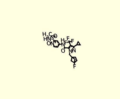 CS(=N)(=O)c1cc(NC(=O)c2c(C(F)(F)F)c(C3CC3)nn2CC23CCC(F)(C2)C3)cc[n+]1[O-]